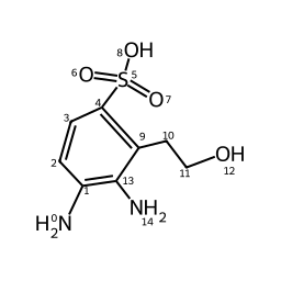 Nc1ccc(S(=O)(=O)O)c(CCO)c1N